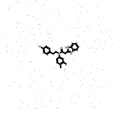 Cc1ccc(N(CCc2ccc(F)cc2)C(=O)Cc2nc3ccccc3[nH]2)cc1C